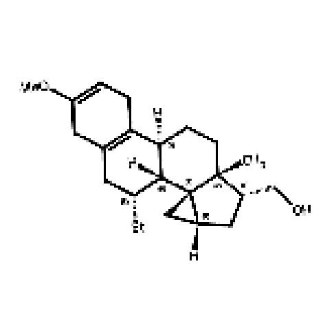 CC[C@@H]1CC2=C(CC=C(OC)C2)[C@H]2CC[C@]3(C)[C@H](CO)C[C@@H]4C[C@]43[C@H]12